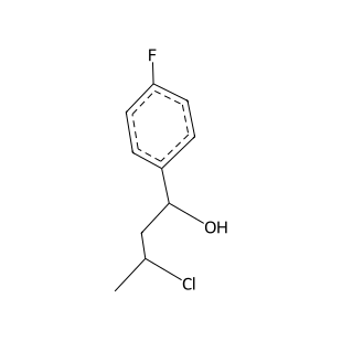 CC(Cl)CC(O)c1ccc(F)cc1